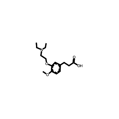 CCN(CC)CCOc1cc(CCC(=O)O)ccc1OC